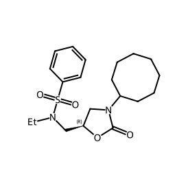 CCN(C[C@H]1CN(C2CCCCCCC2)C(=O)O1)S(=O)(=O)c1ccccc1